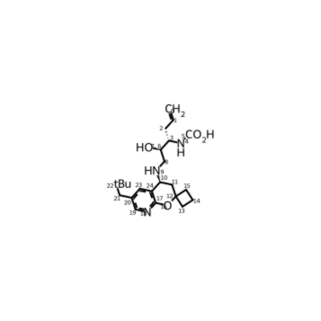 C=CC[C@H](NC(=O)O)[C@H](O)CN[C@H]1CC2(CCC2)Oc2ncc(CC(C)(C)C)cc21